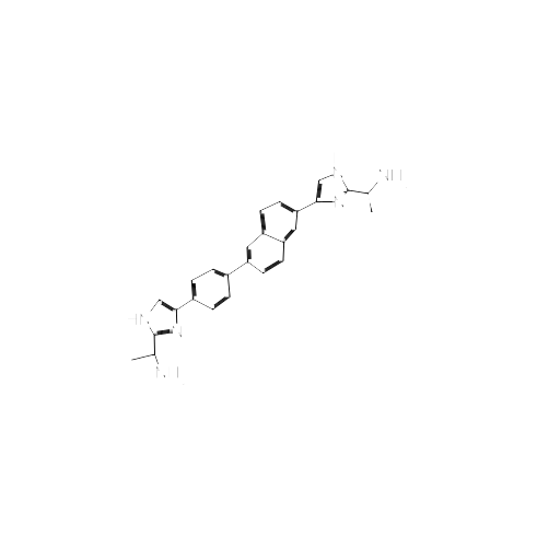 CC(N)c1nc(-c2ccc(-c3ccc4cc(-c5c[nH]c([C@H](C)N)n5)ccc4c3)cc2)c[nH]1